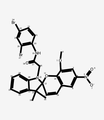 COc1cc([N+](=O)[O-])cc2c1OC1(C=C2)N(CC(=O)Nc2ccc(Br)cc2Br)c2ccccc2C1(C)C